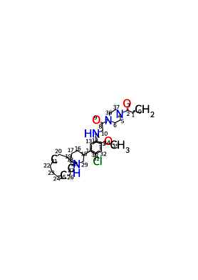 C=CC(=O)N1CCN(C(=O)CNc2cc(C3CCC4(CCCCCCCCC4)NC3)c(Cl)cc2OC)CC1